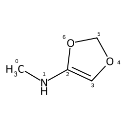 CNC1=COCO1